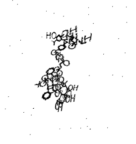 CCNC(=O)c1nnc(-c2cc(C(C)C)c(O)cc2O)n1-c1ccc([S+]([O-])N2CCN(C(=O)CCC(=O)O[C@@H](C(=O)O[C@H]3CC4(O)[C@@H](OC(=O)c5ccccc5)C5C6CO[C@@H]6C[C@H](O)[C@@]5(C)C(=O)[C@H](O)C(=C3C)C4(C)C)[C@@H](NC(=O)OC(C)(C)C)c3ccccc3)CC2)cc1